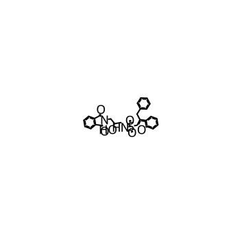 O=C1c2ccccc2C(=O)N1CC(O)CNS(=O)(=O)c1oc2ccccc2c1Cc1ccccc1